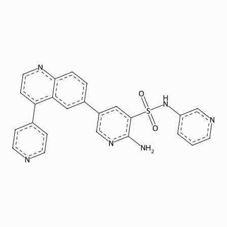 Nc1ncc(-c2ccc3nccc(-c4ccncc4)c3c2)cc1S(=O)(=O)Nc1cccnc1